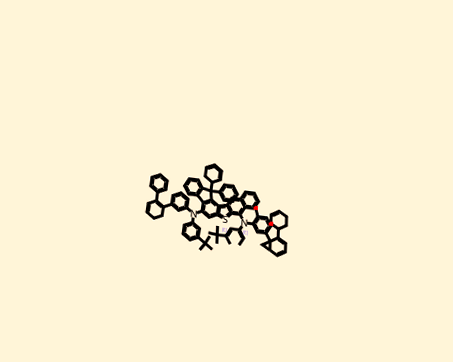 C/C=C(\C=C(/C)C(C)(C)C)N(c1cc(C23CC2C=CC=C3C2CC=CCC2)ccc1C)c1c2ccccc2cc2c1sc1cc(N(c3cccc(C4=C(c5ccccc5)C=CCC4)c3)c3cccc(C(C)(C)C)c3)c3c(c12)C(c1ccccc1)(C1C=C=C=CC1)c1ccccc1-3